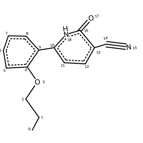 CCCOc1ccccc1-c1ccc(C#N)c(=O)[nH]1